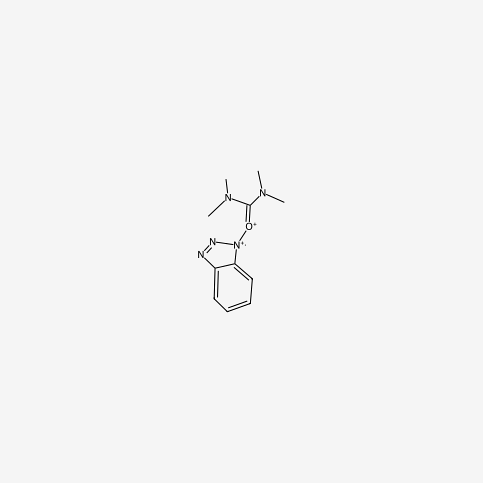 CN(C)C(=[O+][N+]1N=Nc2ccccc21)N(C)C